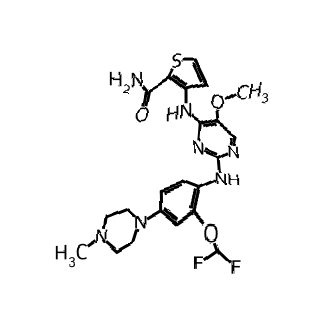 COc1cnc(Nc2ccc(N3CCN(C)CC3)cc2OC(F)F)nc1Nc1ccsc1C(N)=O